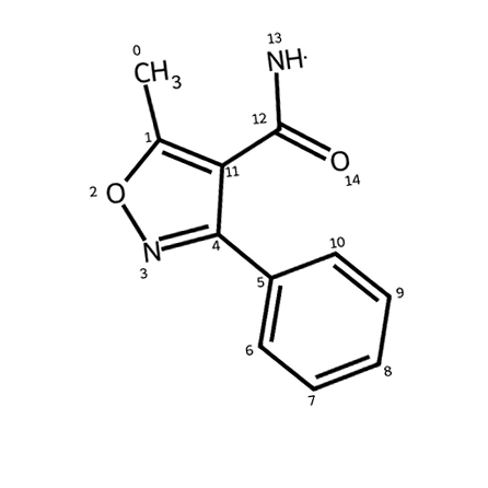 Cc1onc(-c2ccccc2)c1C([NH])=O